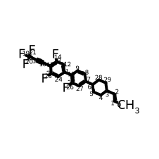 C/C=C/C1CCC(c2ccc(-c3cc(F)c(C#CC(F)(F)F)c(F)c3)c(F)c2)CC1